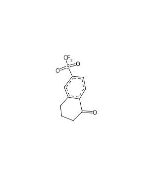 O=C1CCCc2cc(S(=O)(=O)C(F)(F)F)ccc21